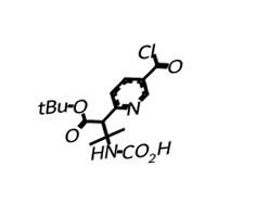 CC(C)(C)OC(=O)C(c1ccc(C(=O)Cl)cn1)C(C)(C)NC(=O)O